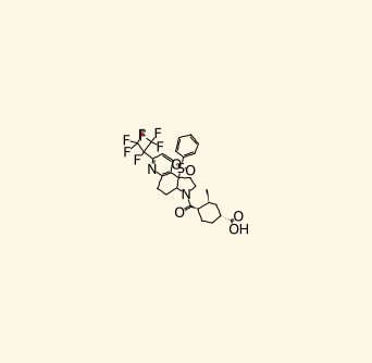 C[C@H]1C[C@H](C(=O)O)CC[C@H]1C(=O)N1CCC2(S(=O)(=O)c3ccccc3)c3ccc(C(F)(C(F)(F)F)C(F)(F)F)nc3CCC12